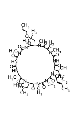 C=C1C(=O)N(C)[C@@H](CC(C)(C)OCSC)C(=O)NC(=O)N(C)C(=O)NC(=O)N[C@@H](C)C(=O)N(C)[C@H](CC(C)C)C(=O)N(C)C(=O)N(C)C(=O)N(C)[C@@H]([C@H](O)[C@H](C)C/C=C/C)C(=O)NC(=O)N1C